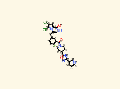 O=C(c1cc(Cc2c[nH]c(=O)c3cc(Cl)c(Cl)n23)ccc1F)N1CCC(c2nc(-c3cccnc3)no2)CC1